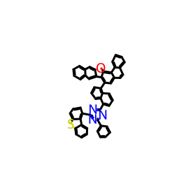 c1ccc(-c2nc(-c3cccc4c(-c5cc6ccc7ccccc7c6c6oc7cc8ccccc8cc7c56)cccc34)nc(-c3cccc4sc5ccccc5c34)n2)cc1